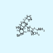 CNC(CCN)CNc1nc(Cc2ccsc2)cc2[nH]c3cc(Br)ccc3c12